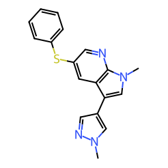 Cn1cc(-c2cn(C)c3ncc(Sc4ccccc4)cc23)cn1